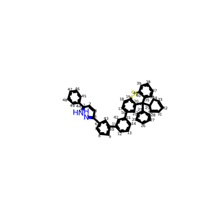 N=C(/C=C\C(=N)c1cccc(-c2cccc(-c3ccc4c(c3)C(c3ccccc3)(C3C=CC=CC3)c3ccccc3S4)c2)c1)c1ccccc1